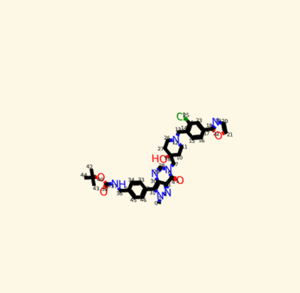 Cn1nc2c(=O)n(CC3(O)CCN(Cc4ccc(-c5ncco5)cc4Cl)CC3)cnc2c1-c1ccc(CNC(=O)OC(C)(C)C)cc1